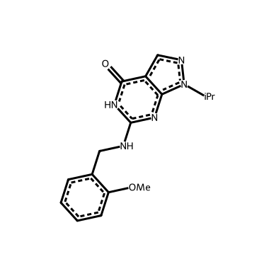 COc1ccccc1CNc1nc2c(cnn2C(C)C)c(=O)[nH]1